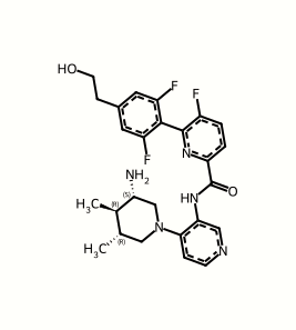 C[C@H]1[C@H](N)CN(c2ccncc2NC(=O)c2ccc(F)c(-c3c(F)cc(CCO)cc3F)n2)C[C@@H]1C